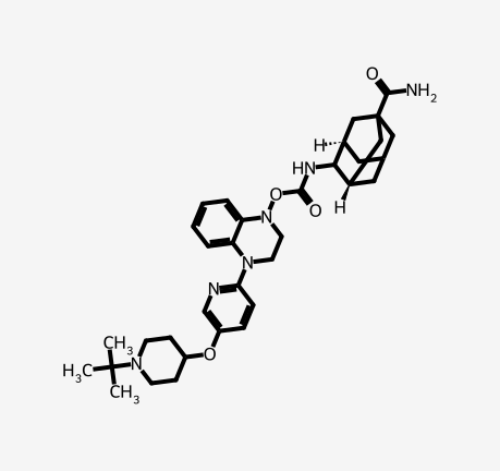 CC(C)(C)N1CCC(Oc2ccc(N3CCN(OC(=O)NC4[C@@H]5CC6C[C@H]4CC(C(N)=O)(C6)C5)c4ccccc43)nc2)CC1